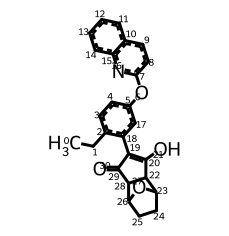 CCc1ccc(Oc2ccc3ccccc3n2)cc1C1=C(O)C2C3CCC(O3)C2C1=O